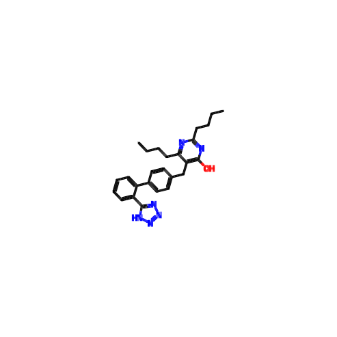 CCCCc1nc(O)c(Cc2ccc(-c3ccccc3-c3nnn[nH]3)cc2)c(CCCC)n1